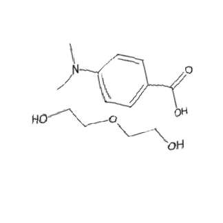 CN(C)c1ccc(C(=O)O)cc1.OCCOCCO